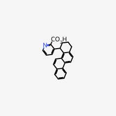 O=C(O)c1ncccc1C1CCCc2ccc3c(ccc4ccccc43)c21